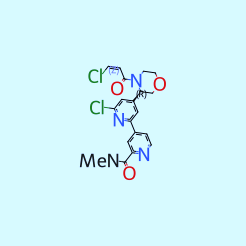 CNC(=O)c1cc(-c2cc([C@@H]3COCCN3C(=O)/C=C\Cl)cc(Cl)n2)ccn1